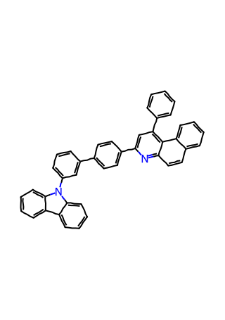 c1ccc(-c2cc(-c3ccc(-c4cccc(-n5c6ccccc6c6ccccc65)c4)cc3)nc3ccc4ccccc4c23)cc1